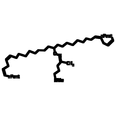 CCCCC/C=C\C/C=C\CCCCCCCCC(CCCCCCCC/C=C\C/C=C\CCCCC)ON=C(C)CCCNC